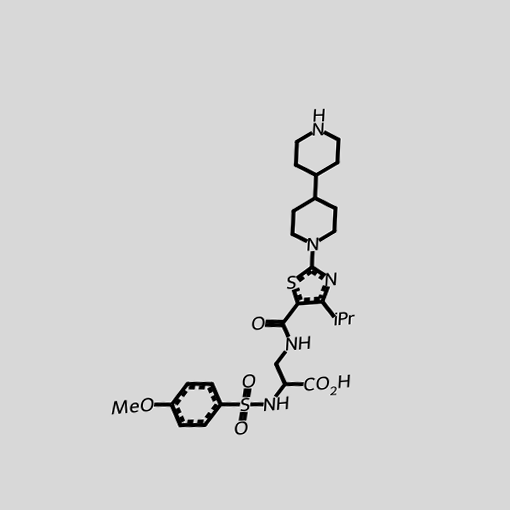 COc1ccc(S(=O)(=O)NC(CNC(=O)c2sc(N3CCC(C4CCNCC4)CC3)nc2C(C)C)C(=O)O)cc1